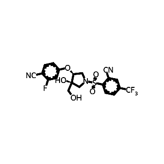 N#Cc1ccc(O[C@H]2CN(S(=O)(=O)c3ccc(C(F)(F)F)cc3C#N)C[C@]2(O)CO)cc1F